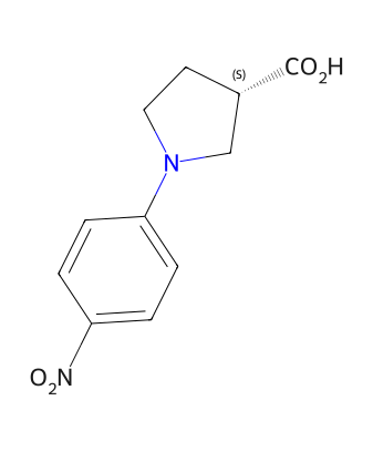 O=C(O)[C@H]1CCN(c2ccc([N+](=O)[O-])cc2)C1